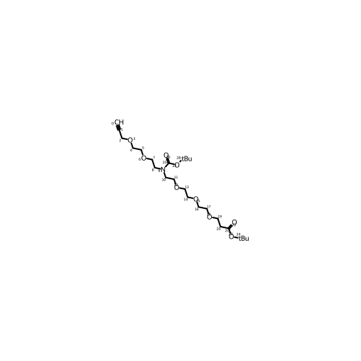 C#CCOCCOCCN(CCOCCOCCOCCC(=O)OC(C)(C)C)C(=O)OC(C)(C)C